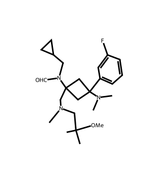 COC(C)(C)CN(C)CC1(N(C=O)CC2CC2)CC(c2cccc(F)c2)(N(C)C)C1